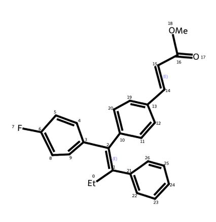 CC/C(=C(\c1ccc(F)cc1)c1ccc(/C=C/C(=O)OC)cc1)c1ccccc1